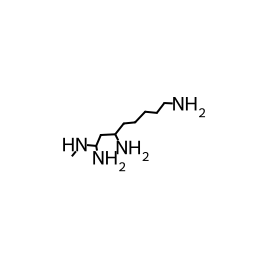 CNC(N)CC(N)CCCCCN